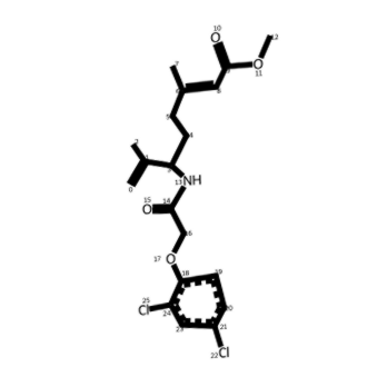 C=C(C)C(CCC(C)=CC(=O)OC)NC(=O)COc1ccc(Cl)cc1Cl